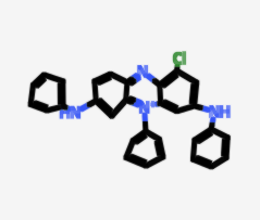 Clc1cc(Nc2ccccc2)cc2c1nc1ccc(Nc3ccccc3)cc1[n+]2-c1ccccc1